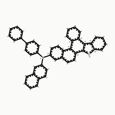 c1ccc(-c2ccc(N(c3ccc4ccccc4c3)c3ccc4c(ccc5c6oc7ccccc7c6c6ccccc6c45)c3)cc2)cc1